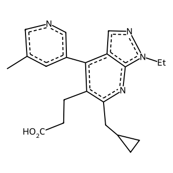 CCn1ncc2c(-c3cncc(C)c3)c(CCC(=O)O)c(CC3CC3)nc21